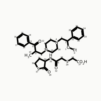 CCOC(CN1CCN(CC(C)C(=O)c2ccccc2)CC1)c1ccccc1.O=C(O)CSCC(=O)NC1CCSC1=O